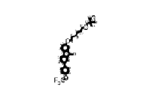 CC1c2cc(OCCCCCCOCC3(C)COC3)ccc2-c2ccc(-c3ccc(OC(F)(F)F)cc3)cc21